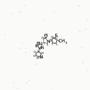 Cc1ccc(N2CC(c3nc(-c4cccnc4)no3)CC2=O)cc1F